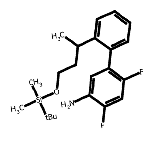 CC(CCO[Si](C)(C)C(C)(C)C)c1ccccc1-c1cc(N)c(F)cc1F